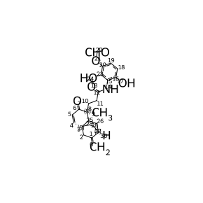 C=C1C[C@@]23C=CC(=O)[C@@](C)(CCC(=O)Nc4c(O)ccc(OC=O)c4O)C2C[C@@H]1CC3